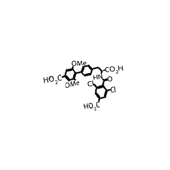 COc1cc(C(=O)O)cc(OC)c1-c1ccc(C[C@H](NC(=O)c2c(Cl)cc(C(=O)O)cc2Cl)C(=O)O)cc1